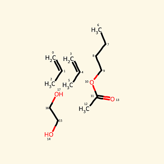 C=CC.C=CC.CCCCOC(C)=O.OCCO